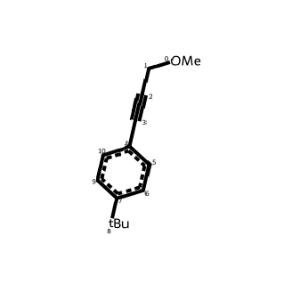 COCC#Cc1ccc(C(C)(C)C)cc1